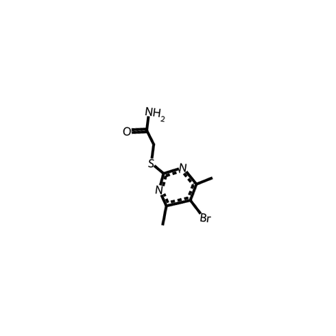 Cc1nc(SCC(N)=O)nc(C)c1Br